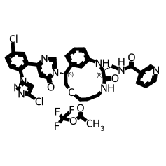 CC(=O)OC(F)(F)F.O=C(NC[C@H]1Nc2cccc(c2)[C@@H](n2cnc(-c3cc(Cl)ccc3-n3cc(Cl)nn3)cc2=O)CCCCCNC1=O)c1cccnc1